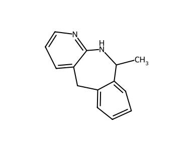 CC1Nc2ncccc2Cc2ccccc21